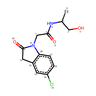 CCC(CO)NC(=O)CN1C(=O)Cc2cc(Cl)ccc21